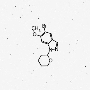 COc1cc2c(cnn2C2CCCCO2)cc1Br